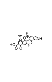 O=C(O)c1cn(C2CC2)c2c(OC(F)F)c(-c3ccc4c(c3F)CNC4)c(F)cc2c1=O